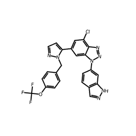 FC(F)(F)Oc1ccc(Cn2nccc2-c2cc(Cl)c3nnn(-c4ccc5cn[nH]c5c4)c3c2)cc1